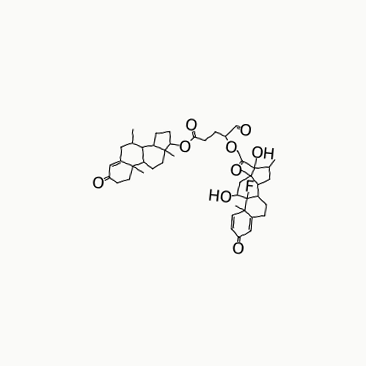 CC1CC2=CC(=O)CCC2(C)C2CCC3(C)C(OC(=O)CCC(C=O)OCC(=O)C4(O)C(C)CC5C6CCC7=CC(=O)C=CC7(C)C6(F)C(O)CC54C)CCC3C12